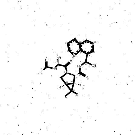 CCC[C@H](NC(=O)C(F)(F)F)C(=O)N1C[C@H]2[C@@H]([C@H]1C(=O)NC(C#N)c1cncc3cccnc13)C2(C)C